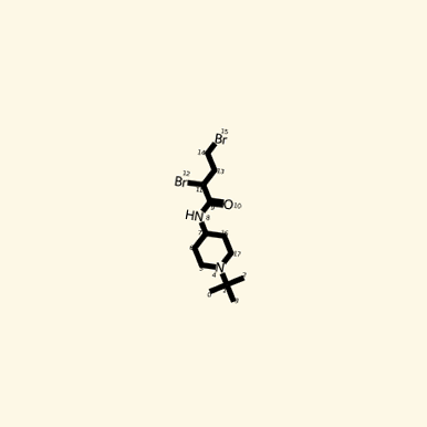 CC(C)(C)N1CCC(NC(=O)C(Br)CCBr)CC1